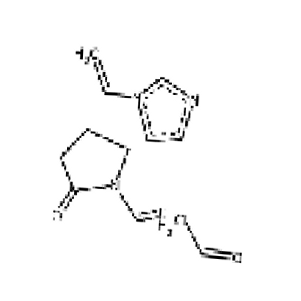 C=CN1CCCC1=O.C=Cn1ccnc1.O=CCl